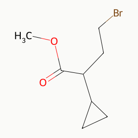 COC(=O)C(CCBr)C1CC1